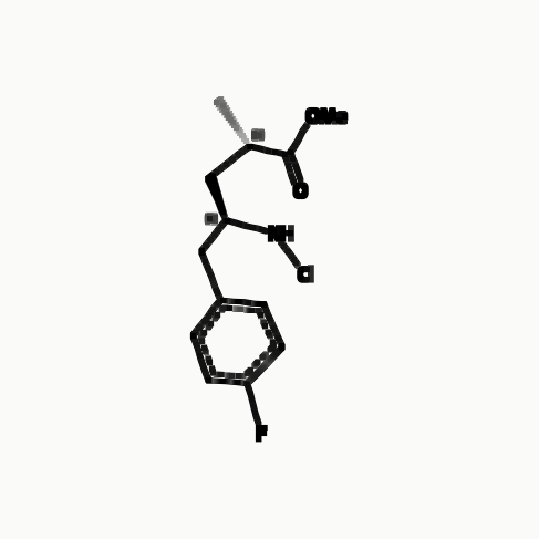 COC(=O)[C@@H](C)C[C@H](Cc1ccc(F)cc1)NCl